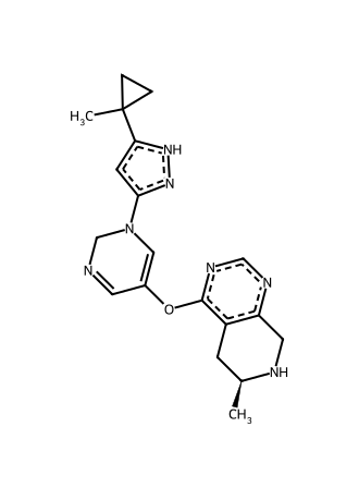 C[C@H]1Cc2c(ncnc2OC2=CN(c3cc(C4(C)CC4)[nH]n3)CN=C2)CN1